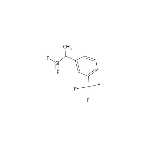 CC(c1cccc(C(F)(F)F)c1)[SiH](F)F